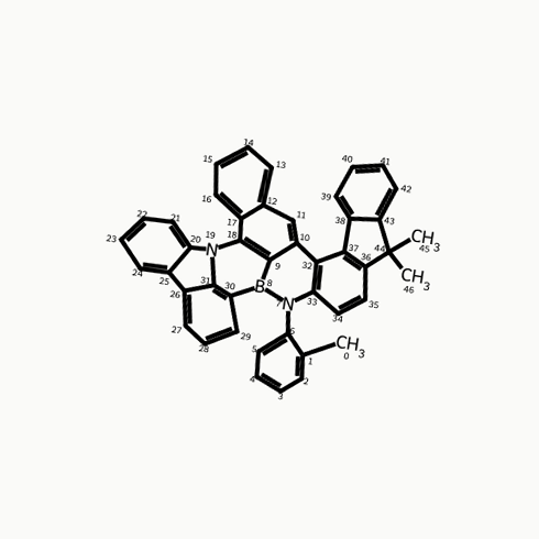 Cc1ccccc1N1B2c3c(cc4ccccc4c3-n3c4ccccc4c4cccc2c43)-c2c1ccc1c2-c2ccccc2C1(C)C